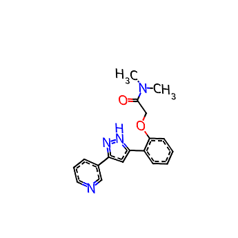 CN(C)C(=O)COc1ccccc1-c1cc(-c2cccnc2)n[nH]1